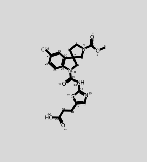 COC(=O)N1CCC2(C1)CN(C(=O)Nc1ncc(CCC(=O)O)s1)c1ccc(Cl)cc12